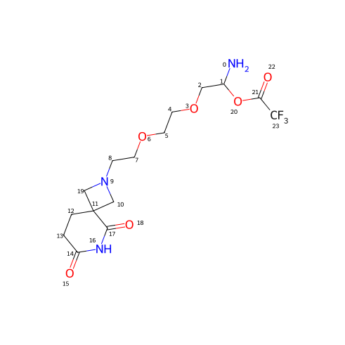 NC(COCCOCCN1CC2(CCC(=O)NC2=O)C1)OC(=O)C(F)(F)F